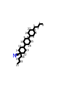 CCCCC1CCC(C2CCC(C3CCC(C#N)(CCCC)CC3)CC2)CC1